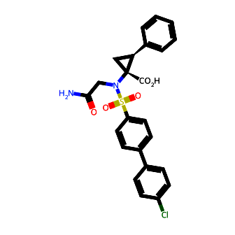 NC(=O)CN([C@]1(C(=O)O)C[C@H]1c1ccccc1)S(=O)(=O)c1ccc(-c2ccc(Cl)cc2)cc1